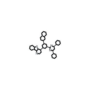 c1ccc(-c2cc(-c3ccccc3)nc(-c3cc(-c4ccc5ccccc5c4)cc(-c4ccnc5c4sc4ccccc45)c3)n2)cc1